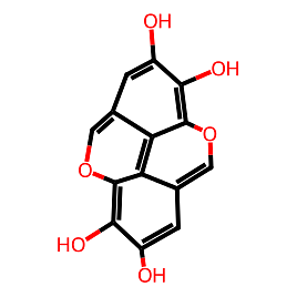 Oc1cc2coc3c(O)c(O)cc4coc(c1O)c2=c43